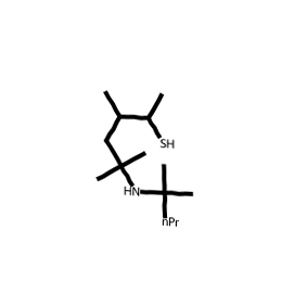 CCCC(C)(C)NC(C)(C)CC(C)C(C)S